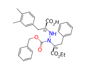 CCOC(=O)[C@H](Cc1ccccc1)N(N[C@@H](Cc1ccc(C)c(C)c1)C(=O)O)C(=O)OCc1ccccc1